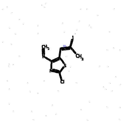 C=Nc1nc(Cl)sc1/C=C(\C)I